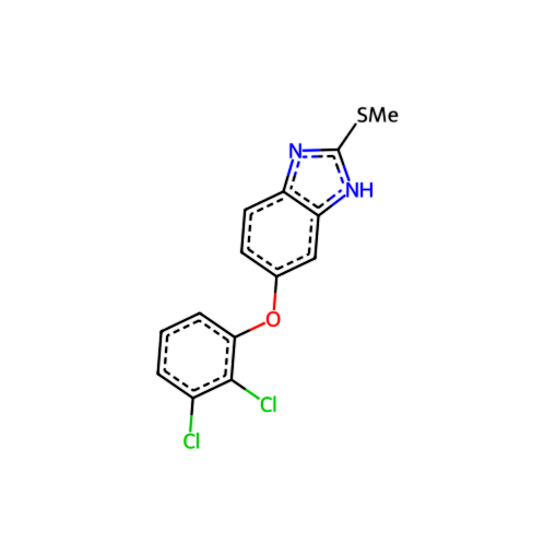 CSc1nc2ccc(Oc3cccc(Cl)c3Cl)cc2[nH]1